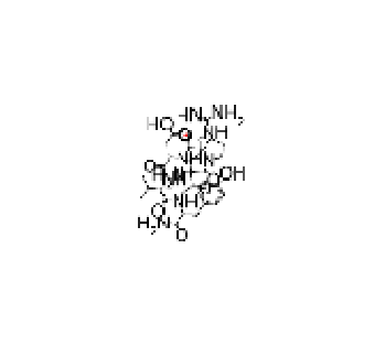 CC(=O)[C@](N)(CCCNC(=N)N)C(=O)N1CCC[C@H]1C(=O)N[C@@H](CC(=O)O)C(=O)N[C@H](C(=O)N[C@@H](Cc1ccc(O)cc1)C(N)=O)C(C)C